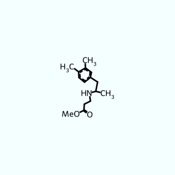 COC(=O)CCNC(C)Cc1ccc(C)c(C)c1